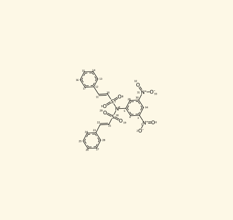 O=[N+]([O-])c1cc(N(S(=O)(=O)/C=C/c2ccccc2)S(=O)(=O)/C=C/c2ccccc2)cc([N+](=O)[O-])c1